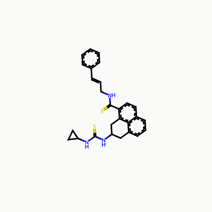 S=C(NC1CC1)NC1Cc2cccc3ccc(C(=S)NCC=Cc4ccccc4)c(c23)C1